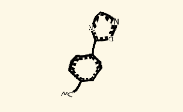 N#Cc1ccc(-c2ncno2)cc1